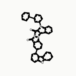 O=c1c2cc(-c3cccc4oc5ccccc5c34)ccc2n2c3c4ccccc4n(-c4cccc(-c5ccccc5)c4)c3c(=O)n12